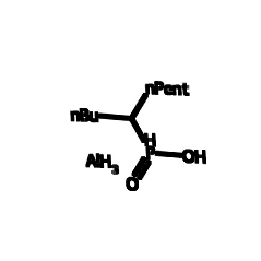 CCCCCC(CCCC)[PH](=O)O.[AlH3]